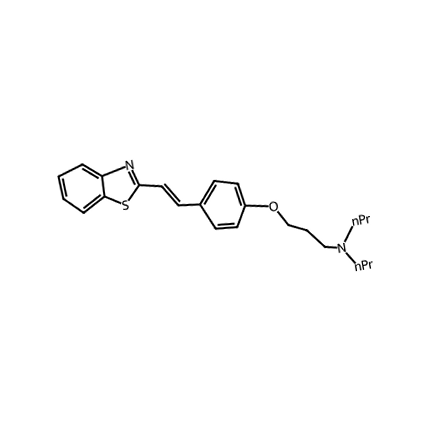 CCCN(CCC)CCCOc1ccc(/C=C/c2nc3ccccc3s2)cc1